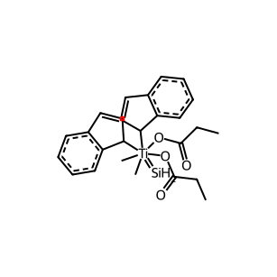 CCC(=O)[O][Ti]([CH3])([CH3])(=[SiH2])([O]C(=O)CC)([CH]1C=Cc2ccccc21)[CH]1C=Cc2ccccc21